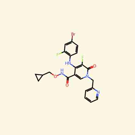 O=C(NOCC1CC1)c1cn(Cc2ccccn2)c(=O)c(F)c1Nc1ccc(Br)cc1F